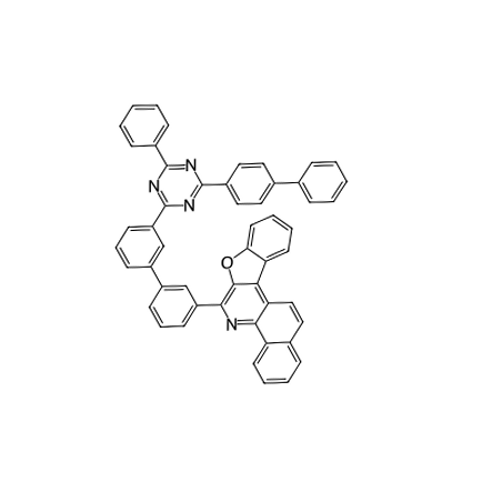 c1ccc(-c2ccc(-c3nc(-c4ccccc4)nc(-c4cccc(-c5cccc(-c6nc7c8ccccc8ccc7c7c6oc6ccccc67)c5)c4)n3)cc2)cc1